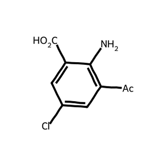 CC(=O)c1cc(Cl)cc(C(=O)O)c1N